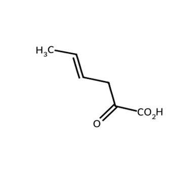 CC=CCC(=O)C(=O)O